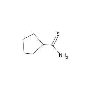 NC(=S)[C]1CCCC1